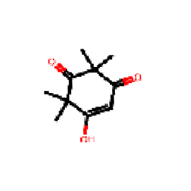 CC1(C)C(=O)C=C(O)C(C)(C)C1=O